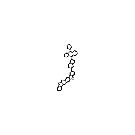 c1ccc(-c2c3ccccc3c(-c3ccc4cc(-c5ccc6oc7cc8cc9c(cc8cc7c6c5)sc5ccccc59)ccc4c3)c3ccccc23)cc1